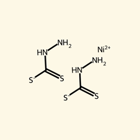 NNC(=S)[S-].NNC(=S)[S-].[Ni+2]